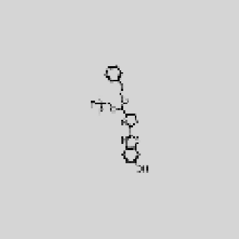 Oc1ccc2nc(C3=NC(C(OCCc4ccccc4)OCC(F)(F)F)CS3)sc2c1